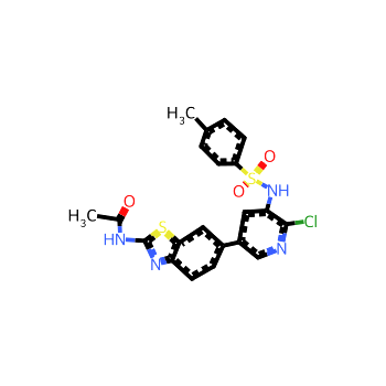 CC(=O)Nc1nc2ccc(-c3cnc(Cl)c(NS(=O)(=O)c4ccc(C)cc4)c3)cc2s1